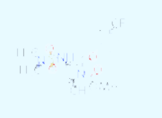 COC(=O)N1[C@H](COC2CCC(C(F)(F)F)CC2)[C@H](NS(=O)(=O)N(C)C)C[C@@H]1C